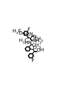 C=C(C(/C(N)=N\C)=C(/N)NC(C)c1ccccc1C(=O)/C(=C\O)c1cccc(F)c1)c1cc(F)cc(OC)c1